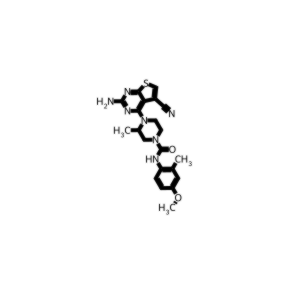 COc1ccc(NC(=O)N2CCN(c3nc(N)nc4scc(C#N)c34)C(C)C2)c(C)c1